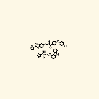 N=C(NCCOc1cccc2[nH]c3ccccc3c12)c1cccs1.NC(=Nc1ccc(CCNC(=O)c2ccc(Oc3ccc(O)cc3)cc2)cc1)c1cccs1